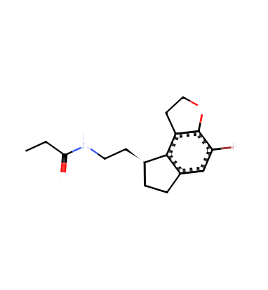 CCC(=O)NCC[C@@H]1CCc2cc(Br)c3c(c21)CCO3